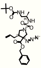 C=CC[C@H]1CN(S(=O)(=O)N[C@H](C)CNC(=O)OC(C)(C)C)C[C@@]1(N=[N+]=[N-])C(=O)OCc1ccccc1